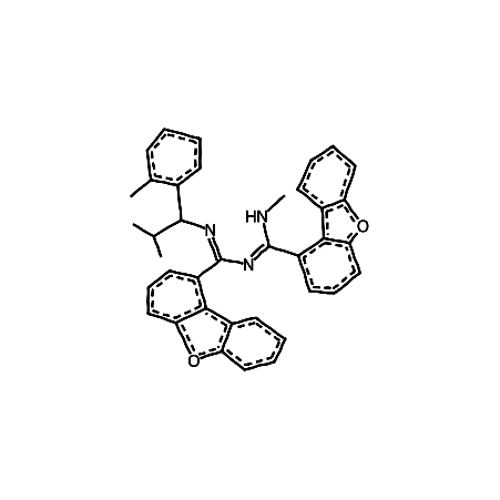 CN/C(=N\C(=NC(c1ccccc1C)C(C)C)c1cccc2oc3ccccc3c12)c1cccc2oc3ccccc3c12